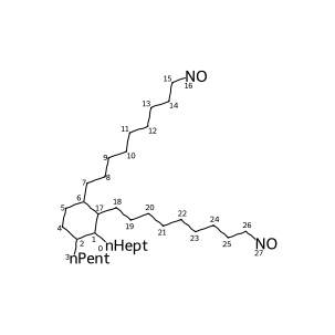 CCCCCCCC1C(CCCCC)CCC(CCCCCCCCCN=O)C1CCCCCCCCCN=O